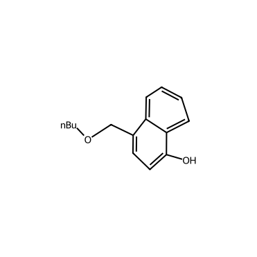 CCCCOCc1ccc(O)c2ccccc12